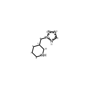 c1nnn(CC2CCCNC2)n1